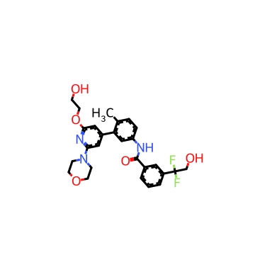 Cc1ccc(NC(=O)c2cccc(C(F)(F)CO)c2)cc1-c1cc(OCCO)nc(N2CCOCC2)c1